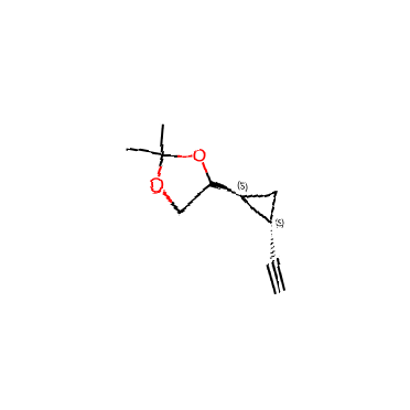 C#C[C@H]1C[C@@H]1C1COC(C)(C)O1